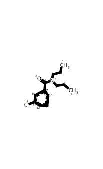 CCCN(CCC)C(=O)c1cccc(Cl)c1